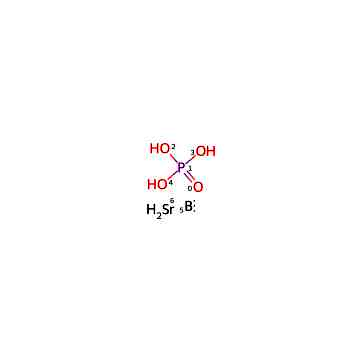 O=P(O)(O)O.[B].[SrH2]